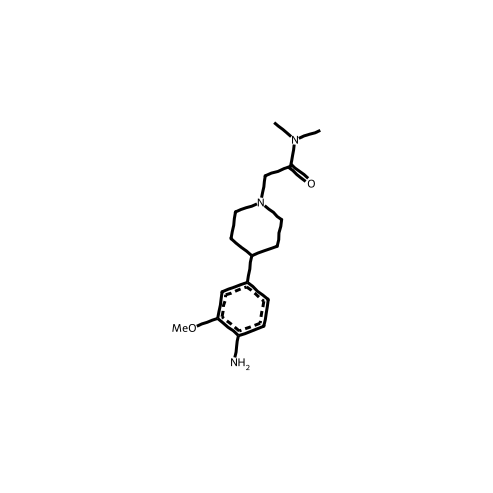 COc1cc(C2CCN(CC(=O)N(C)C)CC2)ccc1N